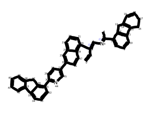 C=C/C(=C\N=C(/C)c1cccc2c1CC1=C2CCC=C1)c1cccc2cc(-c3ccc(-c4cccc5c4Cc4ccccc4-5)nc3)ccc12